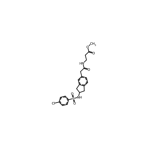 COC(=O)CCNC(=O)Cc1ccc2c(c1)CC(NS(=O)(=O)c1ccc(Cl)cc1)C2